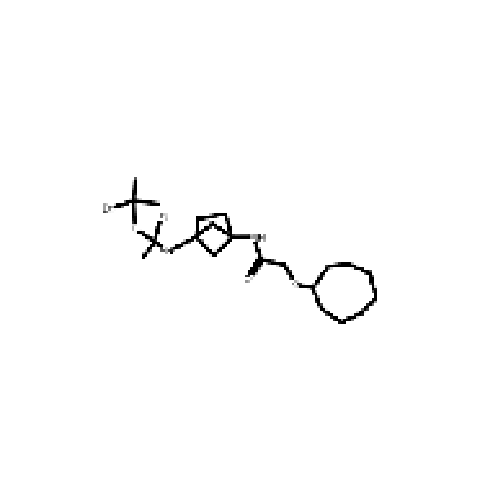 CCC(C)(C)OC(C)(CC)NC12CCC(NC(=O)COC3CCCCCCC3)(C1)C2